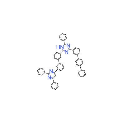 c1ccc(-c2ccc(-c3cccc(C4=NC(c5ccccc5)NC(c5cccc(-c6cccc(-c7cc(-c8ccccc8)nc(-c8ccccc8)n7)c6)c5)=N4)c3)cc2)cc1